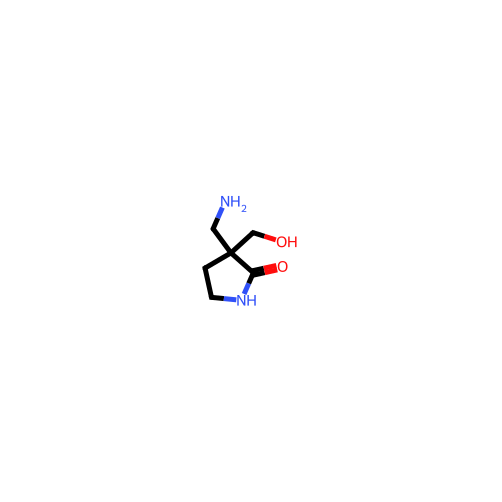 NCC1(CO)CCNC1=O